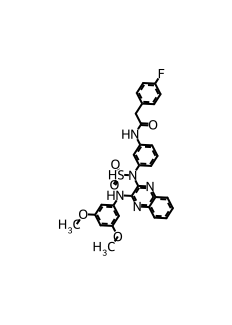 COc1cc(Nc2nc3ccccc3nc2N(c2cccc(NC(=O)Cc3ccc(F)cc3)c2)[SH](=O)=O)cc(OC)c1